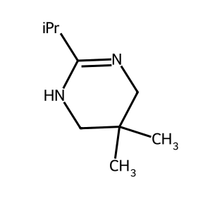 CC(C)C1=NCC(C)(C)CN1